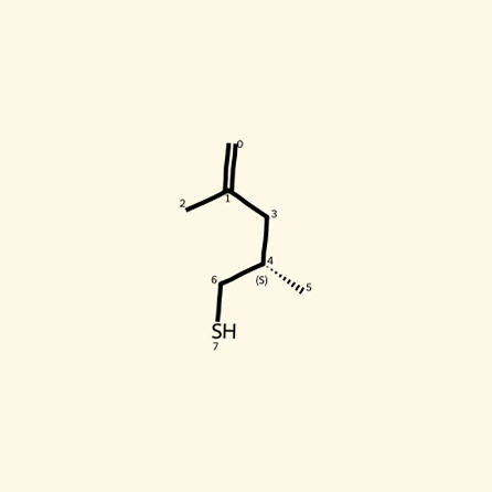 C=C(C)C[C@H](C)CS